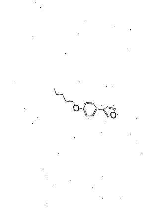 CCCCCOc1ccc(-c2ccoc2)cc1